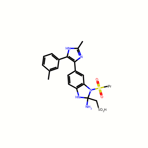 Cc1cccc(-c2[nH]c(C)nc2-c2ccc3c(c2)N(S(=O)(=O)C(C)C)C(N)(CS(=O)(=O)O)N3)c1